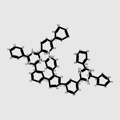 c1ccc(-c2ccc(-c3nc(-c4ccccc4)nc(-c4cccc(-c5ccc(-c6cccc(-c7nc(-c8ccccc8)nc(-c8ccccc8)n7)c6)cc5-c5ccncc5)c4)n3)nc2)cc1